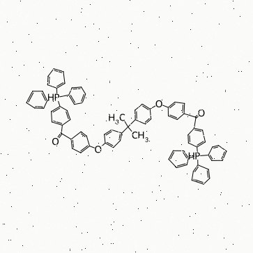 CC(C)(c1ccc(Oc2ccc(C(=O)c3ccc([PH](c4ccccc4)(c4ccccc4)c4ccccc4)cc3)cc2)cc1)c1ccc(Oc2ccc(C(=O)c3ccc([PH](c4ccccc4)(c4ccccc4)c4ccccc4)cc3)cc2)cc1